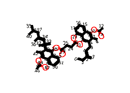 CC/C(C)=C/Cc1c(C)c(OC(C)=O)c2ccccc2c1OC(=O)CCC(=O)Oc1c(C(C)(C)/C=C(\C)CC(C)C)c(C)c(OC(C)=O)c2ccccc12